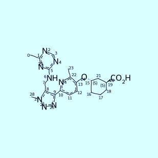 Cc1ncnc(NCc2c(-c3ccc(O[C@H]4CCC[C@H](C(=O)O)C4)c(C)n3)nnn2C)n1